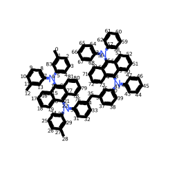 Cc1cccc(N(c2cccc(C)c2)c2c3ccccc3c(N(c3cccc(C)c3)c3cccc(Cc4cccc(N(c5ccccc5)c5c6ccccc6c(N(c6ccccc6)c6ccccc6)c6ccccc56)c4)c3)c3ccccc23)c1